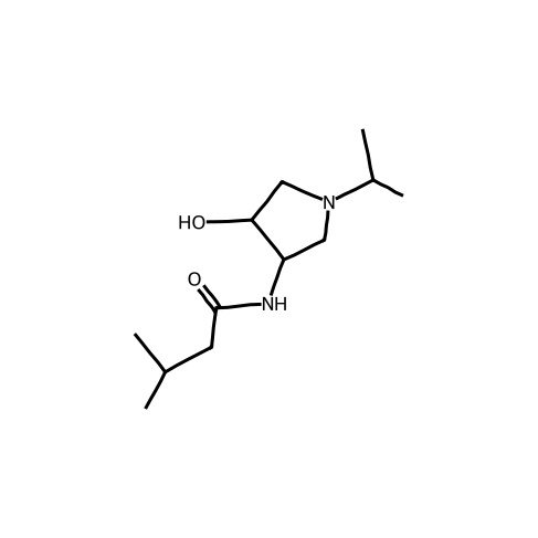 CC(C)CC(=O)NC1CN(C(C)C)CC1O